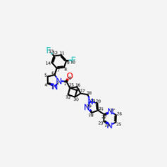 O=C(N1N=CCC1c1cc(F)cc(F)c1)C12CC(Cn3cc(-c4cnccn4)cn3)C(C1)C2